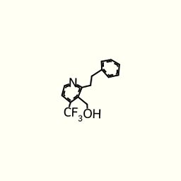 OCc1c(C(F)(F)F)ccnc1CCc1ccccc1